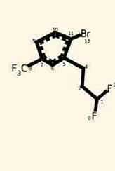 FC(F)CCc1cc(C(F)(F)F)ccc1Br